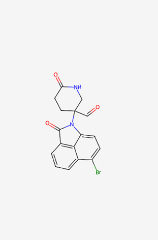 O=CC1(N2C(=O)c3cccc4c(Br)ccc2c34)CCC(=O)NC1